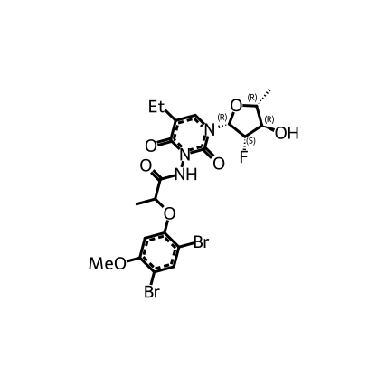 CCc1cn([C@@H]2O[C@H](C)[C@@H](O)[C@@H]2F)c(=O)n(NC(=O)C(C)Oc2cc(OC)c(Br)cc2Br)c1=O